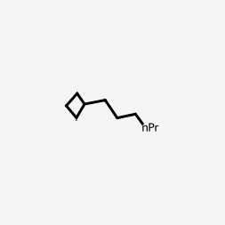 CCCCCCC1[CH]CC1